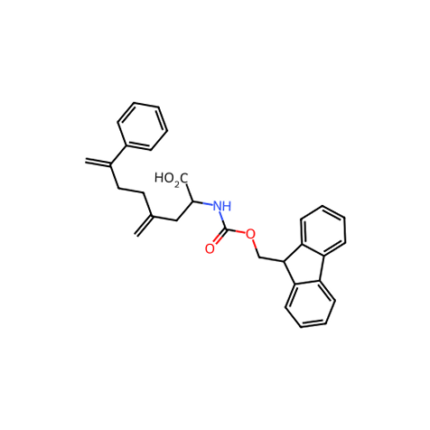 C=C(CCC(=C)c1ccccc1)CC(NC(=O)OCC1c2ccccc2-c2ccccc21)C(=O)O